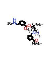 CNC(=O)c1cccc(CNC(C)(C)CC(COC(=O)c2cccc(CNC(C)(C)C)c2)OC)c1